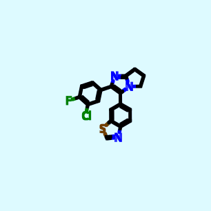 Fc1ccc(-c2nc3n(c2-c2ccc4ncsc4c2)CCC3)cc1Cl